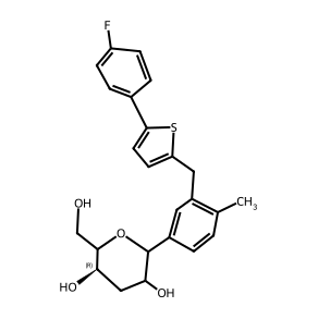 Cc1ccc(C2OC(CO)[C@H](O)CC2O)cc1Cc1ccc(-c2ccc(F)cc2)s1